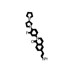 CCCC=Cc1ccc2c(=O)n(-c3ccc(N4CC[C@@H](N5CCCC5)C4)c(F)c3)ccc2c1